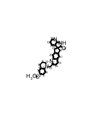 COc1ccc2c(c1)CCCN2Cc1ccc2cc3c(cc2n1)CC1(C3)C(=O)Nc2ncccc21